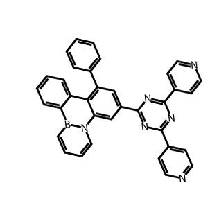 C1=CB2c3ccccc3-c3c(-c4ccccc4)cc(-c4nc(-c5ccncc5)nc(-c5ccncc5)n4)cc3N2C=C1